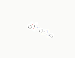 O=C(Nc1nc2ccccc2[nH]1)c1ccc(CNC2=C(Cl)C(=O)c3ccccc3C2=O)cc1